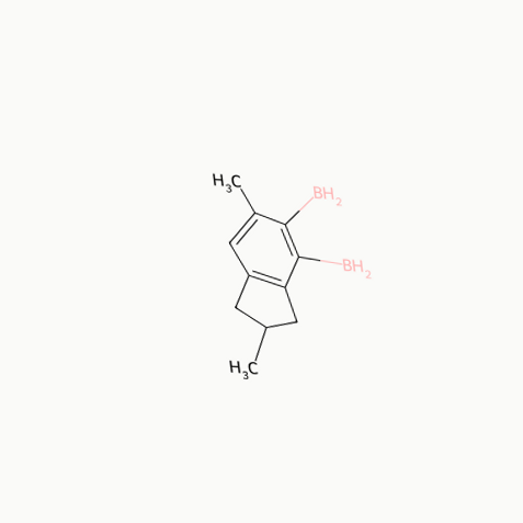 Bc1c(C)cc2c(c1B)CC(C)C2